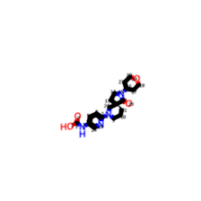 O=C(O)Nc1ccc(N2CCC[C@@]3(CCN(C4CCOCC4)C3=O)C2)nc1